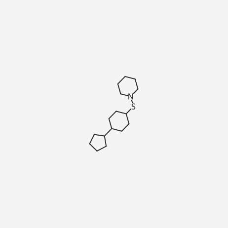 C1CCN(SC2CCC(C3CCCC3)CC2)CC1